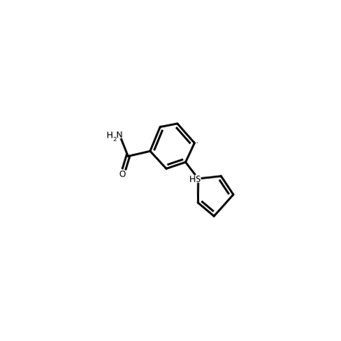 NC(=O)c1cc[c]c([SH]2C=CC=C2)c1